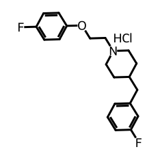 Cl.Fc1ccc(OCCN2CCC(Cc3cccc(F)c3)CC2)cc1